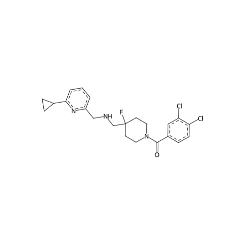 O=C(c1ccc(Cl)c(Cl)c1)N1CCC(F)(CNCc2cccc(C3CC3)n2)CC1